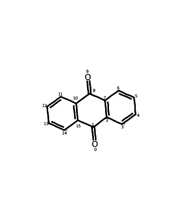 O=C1c2[c]cccc2C(=O)c2ccc[c]c21